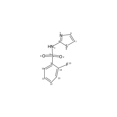 O=S(=O)(Nc1nccs1)c1ccccc1F